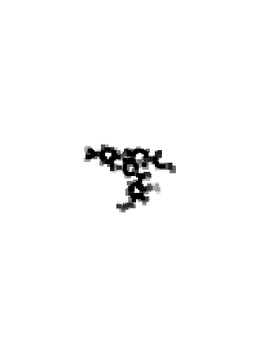 C=CC(=O)N1CCc2nn(-c3ccc(C4CC4)cc3O)c3c2C(C1)N(C(=O)c1cnc(OC(F)(F)F)c(F)c1N)CC3